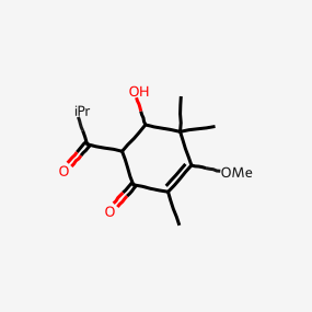 COC1=C(C)C(=O)C(C(=O)C(C)C)C(O)C1(C)C